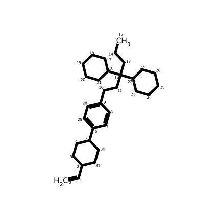 C=CC1CCC(c2ccc(CCC(CCC)(C3CCCCC3)C3CCCCC3)cc2)CC1